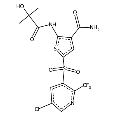 CC(C)(O)C(=O)Nc1sc(S(=O)(=O)c2cc(Cl)cnc2C(F)(F)F)cc1C(N)=O